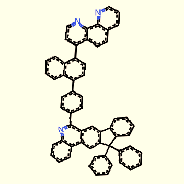 c1ccc(C2(c3ccccc3)c3ccccc3-c3cc4c(-c5ccc(-c6ccc(-c7ccnc8c7ccc7cccnc78)c7ccccc67)cc5)nc5ccccc5c4cc32)cc1